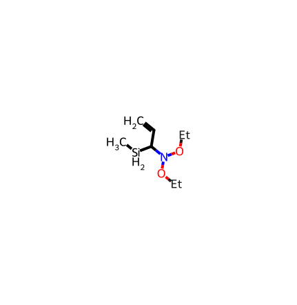 C=CC([SiH2]C)N(OCC)OCC